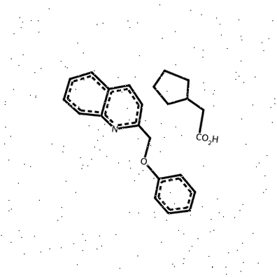 O=C(O)CC1CCCC1.c1ccc(OCc2ccc3ccccc3n2)cc1